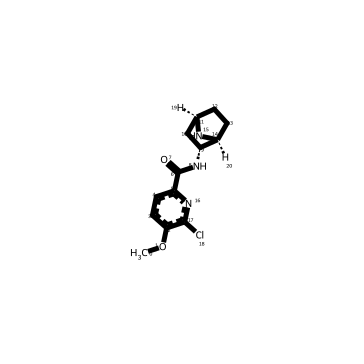 COc1ccc(C(=O)N[C@@H]2C[C@H]3CC[C@@H]2N3)nc1Cl